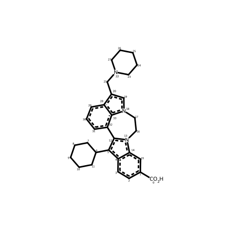 O=C(O)c1ccc2c(C3CCCCC3)c3n(c2c1)CCn1cc(CN2CCCCC2)c2cccc-3c21